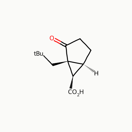 CC(C)(C)C[C@@]12C(=O)CC[C@H]1[C@H]2C(=O)O